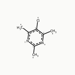 Cc1nc(C)c(Cl)c(C)n1